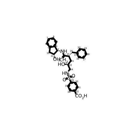 C=C(N[C@H]1c2ccccc2C[C@H]1O)[C@H](Cc1ccccc1)C[C@H](O)CNS(=O)(=O)c1ccc(C(=O)O)cc1